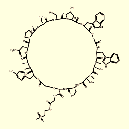 CCCC[C@H]1C(=O)N(C)[C@@H](CCCC)C(=O)N[C@@H](CC(C)C)C(=O)N[C@H](C(=O)NCC(=O)NCCS(C)(=O)=O)CSCC(=O)N[C@@H](Cc2ccc(O)cc2)C(=O)N(C)[C@@H](C)C(=O)N[C@@H](CC(N)=O)C(=O)N2CCC[C@H]2C(=O)N[C@@H](CN)C(=O)N[C@@H](CC(C)C)C(=O)N2C[C@H](O)C[C@H]2C(=O)N[C@@H](Cc2c[nH]c3ccccc23)C(=O)NCC(=O)NC(Cc2c[nH]c3ccccc23)C(=O)N1C